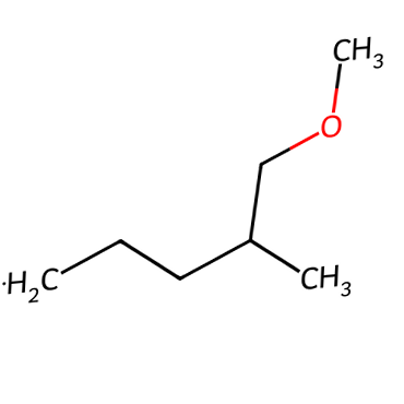 [CH2]CCC(C)COC